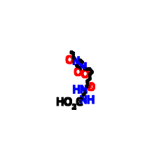 C=CC(=O)N1CCN(c2ccc(CCC(=O)NCCNC(=O)O)o2)C(=O)C1